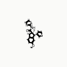 COc1ccc2c(c1)[C@H](c1ccsc1)[C@](C)(C(=O)Nc1nccs1)C2